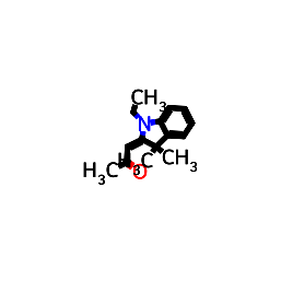 CCN1/C(=C/C(C)=O)C(C)(C)c2ccccc21